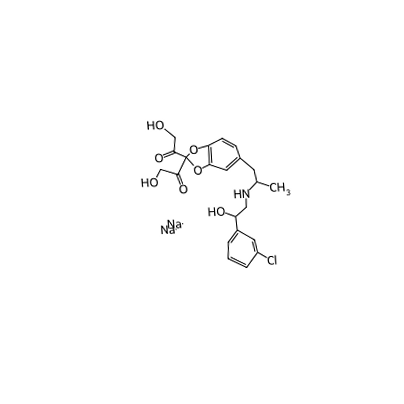 CC(Cc1ccc2c(c1)OC(C(=O)CO)(C(=O)CO)O2)NCC(O)c1cccc(Cl)c1.[Na].[Na]